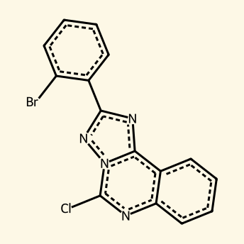 Clc1nc2ccccc2c2nc(-c3ccccc3Br)nn12